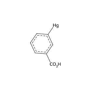 O=C(O)c1ccc[c]([Hg])c1